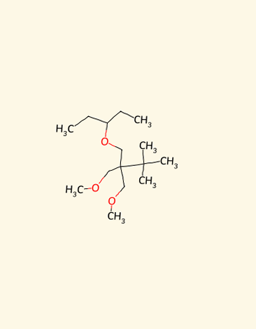 CCC(CC)OCC(COC)(COC)C(C)(C)C